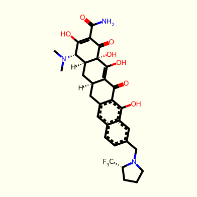 CN(C)[C@@H]1C(O)=C(C(N)=O)C(=O)[C@@]2(O)C(O)=C3C(=O)c4c(cc5ccc(CN6CCC[C@@H]6C(F)(F)F)cc5c4O)C[C@H]3C[C@@H]12